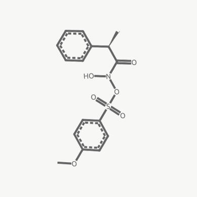 [CH2][C@@H](C(=O)N(O)OS(=O)(=O)c1ccc(OC)cc1)c1ccccc1